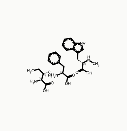 CC[C@H](C)[C@H](N)C(=O)O.CN[C@@H](Cc1c[nH]c2ccccc12)C(=O)O.N[C@@H](Cc1ccccc1)C(=O)O